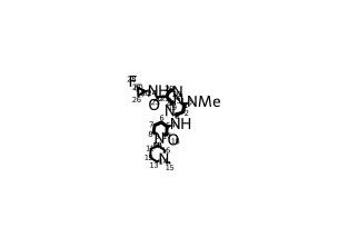 CNc1cc(Nc2cccn([C@@H]3CCCN(C)C3)c2=O)nc2c(C(=O)N[C@@H]3C[C@@H]3F)cnn12